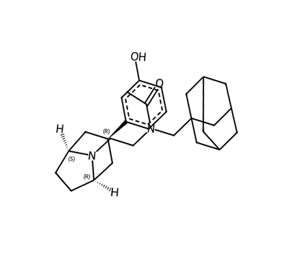 CC(=O)N(CCN1[C@@H]2CC[C@H]1C[C@@H](c1cccc(O)c1)C2)CC12CC3CC(CC(C3)C1)C2